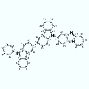 c1ccc(-n2c3ccccc3c3cc(-c4ccc5c(c4)c4ccccc4n5-c4ccc5c(c4)nc4ccccn45)ccc32)cc1